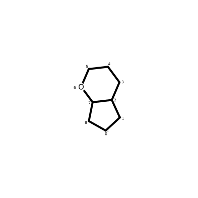 [C]1CC2CCCOC2C1